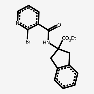 CCOC(=O)C1(NC(=O)c2cccnc2Br)Cc2ccccc2C1